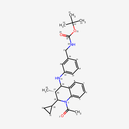 CC(=O)N1c2ccccc2C(Nc2cccc(CNC(=O)OC(C)(C)C)c2)[C@@H](C)C1C1CC1